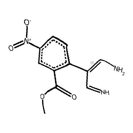 COC(=O)c1cc([N+](=O)[O-])ccc1/C(C=N)=C/N